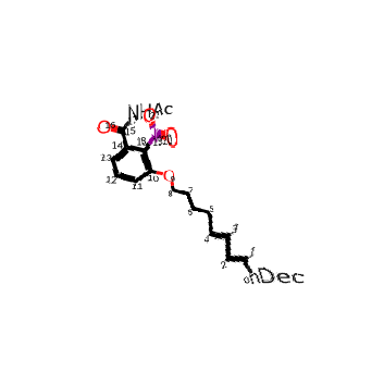 CCCCCCCCCCCCCCCCCCOc1cccc(C(=O)NC(C)=O)c1I(=O)=O